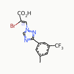 Cc1cc(-c2ncn(/C=C(\Br)C(=O)O)n2)cc(C(F)(F)F)c1